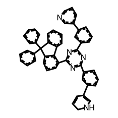 C1=CC(c2cccc(-c3nc(-c4cccc(-c5cccnc5)c4)nc(-c4cccc5c4-c4ccccc4C5(c4ccccc4)c4ccccc4)n3)c2)=CNC1